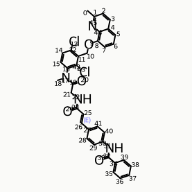 Cc1ccc2cccc(OCc3c(Cl)ccc(N(C)C(=O)CNC(=O)/C=C/c4ccc(NC(=O)c5ccccc5)cc4)c3Cl)c2n1